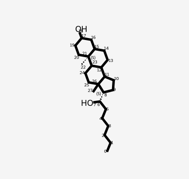 CCCCCCC(O)[C@H]1CCC2C3CCC4CC(O)CC[C@]4(C)C3CCC21C